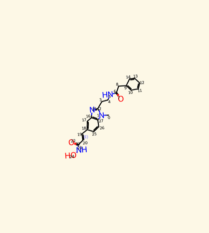 Cn1c(CCNC(=O)Cc2ccccc2)nc2cc(/C=C/C(=O)NO)ccc21